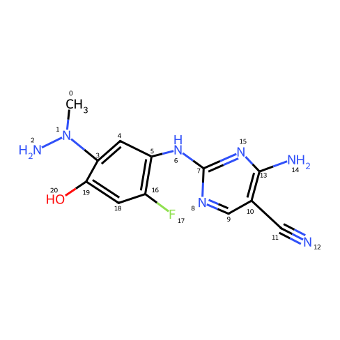 CN(N)c1cc(Nc2ncc(C#N)c(N)n2)c(F)cc1O